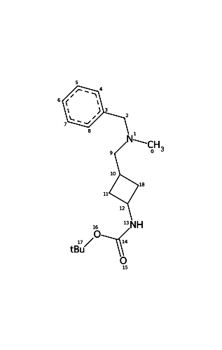 CN(Cc1ccccc1)CC1CC(NC(=O)OC(C)(C)C)C1